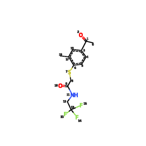 CC(=O)c1ccc(SCC(=O)NCC(F)(F)F)c(C)c1